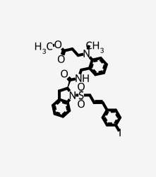 COC(=O)CCN(C)c1ccccc1CNC(=O)[C@@H]1Cc2ccccc2N1S(=O)(=O)CC=Cc1ccc(I)cc1